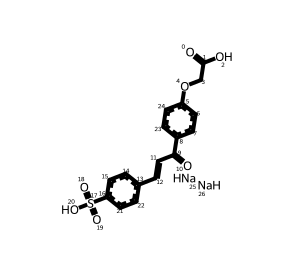 O=C(O)COc1ccc(C(=O)C=Cc2ccc(S(=O)(=O)O)cc2)cc1.[NaH].[NaH]